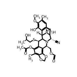 COc1c(C)cc2c(c1O)[C@H]1C3[C@H](SC[C@@H](C)O)c4c(OC(C)=O)c(C)c5c(c4[C@H](COC=O)N3[C@@H](C#N)[C@H](C2)N1C)OCO5